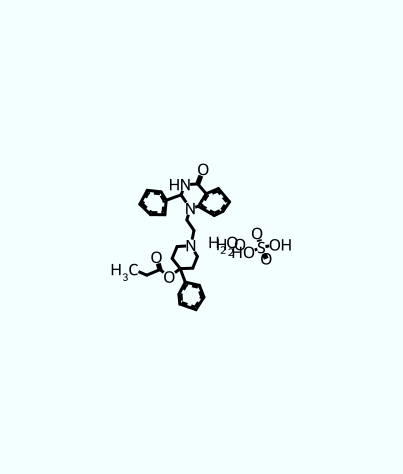 CCC(=O)OC1(c2ccccc2)CCN(CCN2c3ccccc3C(=O)NC2c2ccccc2)CC1.O.O.O=S(=O)(O)O